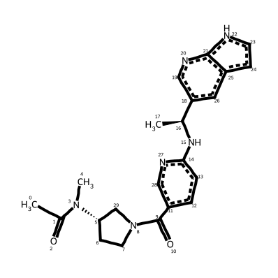 CC(=O)N(C)[C@H]1CCN(C(=O)c2ccc(N[C@@H](C)c3cnc4[nH]ccc4c3)nc2)C1